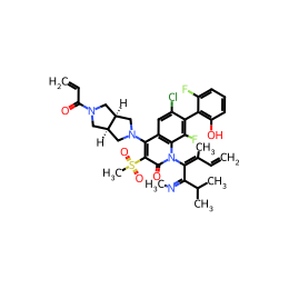 C=CC(=O)N1C[C@@H]2CN(c3c(S(C)(=O)=O)c(=O)n(C(/C(=N\C)C(C)C)=C(\C)C=C)c4c(F)c(-c5c(O)cccc5F)c(Cl)cc34)C[C@@H]2C1